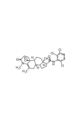 CC1=C2N(C)C(=O)CC[C@]2(C)[C@H]2CC[C@]3(C)[C@@H](C(=O)Nc4c(Cl)cnc(Cl)c4Cl)CC[C@H]3[C@@H]2C1